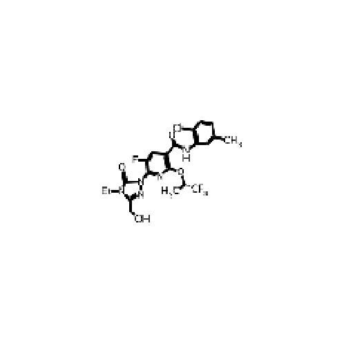 CCn1c(CO)nn(-c2nc(O[C@@H](C)C(F)(F)F)c(C(=O)Nc3cc(C)ccc3Cl)cc2F)c1=O